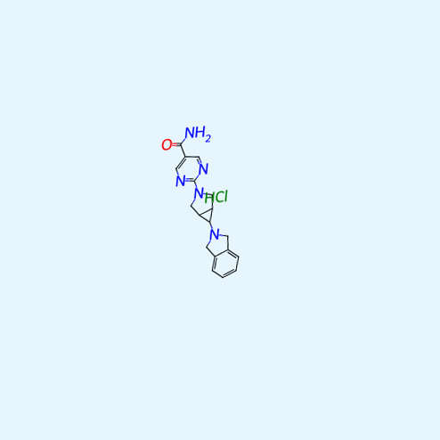 Cl.NC(=O)c1cnc(N2CC3C(C2)C3N2Cc3ccccc3C2)nc1